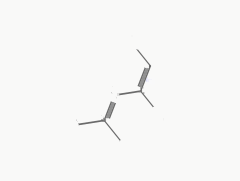 CC/C=C(/F)N=C(C)C